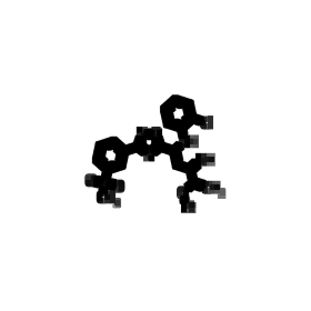 C=C(OCC)C(=N)/C=C(\Nc1ccccc1Cl)c1nc(-c2cccc(S(C)(=O)=O)c2)no1